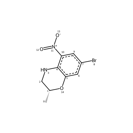 C[C@@H]1CNc2c(cc(Br)cc2[N+](=O)[O-])O1